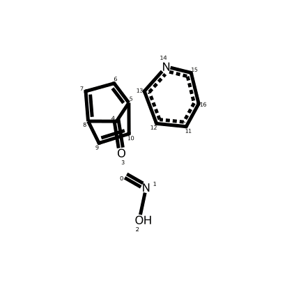 C=NO.O=C1C2=CC=C1C=C2.c1ccncc1